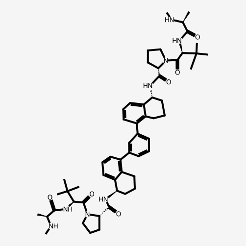 CN[C@@H](C)C(=O)N[C@H](C(=O)N1CCC[C@H]1C(=O)N[C@@H]1CCCc2c(-c3cccc(-c4cccc5c4CCC[C@H]5NC(=O)[C@@H]4CCCN4C(=O)[C@@H](NC(=O)[C@H](C)NC)C(C)(C)C)c3)cccc21)C(C)(C)C